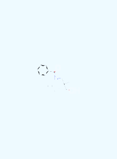 C[C@@H](O)[C@](C)(CNC(=O)c1ccccc1)C(=O)O